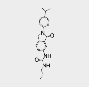 CCCNC(=O)Nc1ccc2c(c1)C(=O)N(c1ccc(C(C)C)cc1)C2